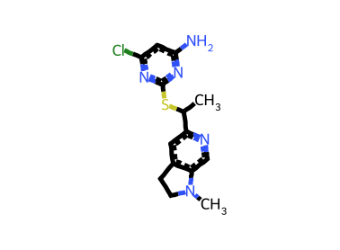 CC(Sc1nc(N)cc(Cl)n1)c1cc2c(cn1)N(C)CC2